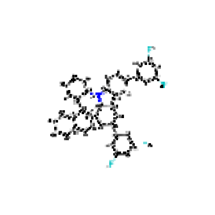 Fc1cc(F)cc(-c2ccc3c(c2)c2cc(-c4cc(F)cc(F)c4)ccc2n3-c2ccccc2-c2cccc3ccccc23)c1